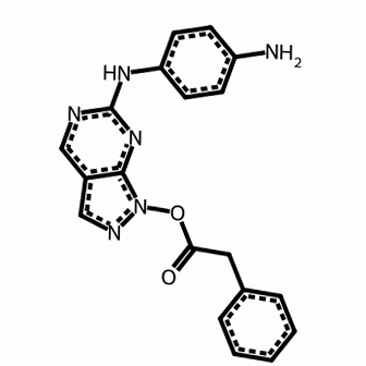 Nc1ccc(Nc2ncc3cnn(OC(=O)Cc4ccccc4)c3n2)cc1